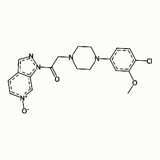 COc1cc(N2CCN(CC(=O)n3ncc4cc[n+]([O-])cc43)CC2)ccc1Cl